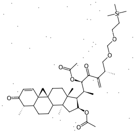 C=C(C(=O)[C@H](OC(C)=O)[C@@H](C)[C@H]1[C@@H](OC(C)=O)C[C@@]2(C)C3CCC4[C@H](C)C(=O)C=C[C@@]45C[C@@]35CC[C@]12C)[C@@H](C)COCOCC[Si](C)(C)C